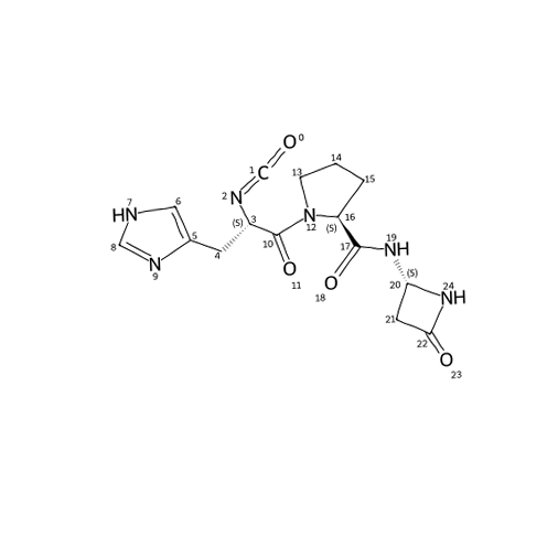 O=C=N[C@@H](Cc1c[nH]cn1)C(=O)N1CCC[C@H]1C(=O)N[C@H]1CC(=O)N1